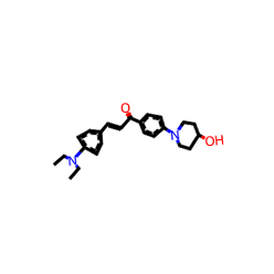 CCN(CC)c1ccc(C=CC(=O)c2ccc(N3CCC(O)CC3)cc2)cc1